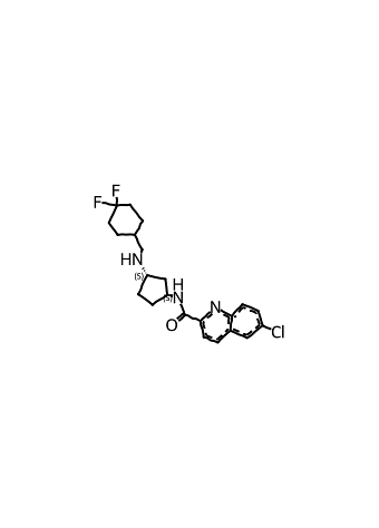 O=C(N[C@H]1CC[C@H](NCC2CCC(F)(F)CC2)C1)c1ccc2cc(Cl)ccc2n1